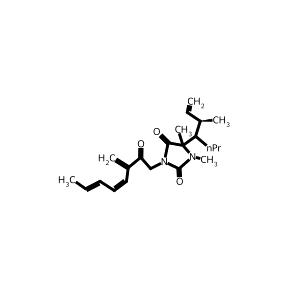 C=C[C@@H](C)C(CCC)C1(C)C(=O)N(CC(=O)C(=C)/C=C\C=C\C)C(=O)N1C